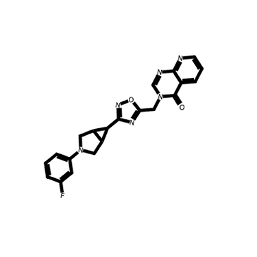 O=c1c2cccnc2ncn1Cc1nc(C2C3CN(c4cccc(F)c4)CC32)no1